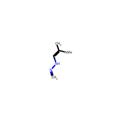 C=NN/C=C(/C)NC